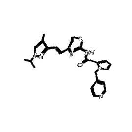 Cc1cn(C(C)C)nc1/C=C/c1csc(NC(=O)c2cccn2Cc2ccncc2)n1